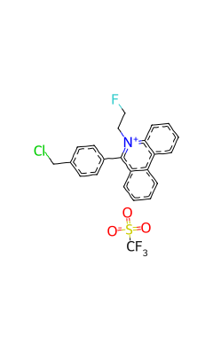 FCC[n+]1c(-c2ccc(CCl)cc2)c2ccccc2c2ccccc21.O=S(=O)([O-])C(F)(F)F